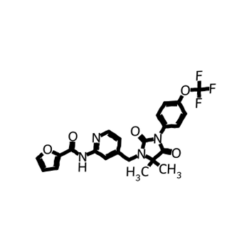 CC1(C)C(=O)N(c2ccc(OC(F)(F)F)cc2)C(=O)N1Cc1ccnc(NC(=O)c2ccco2)c1